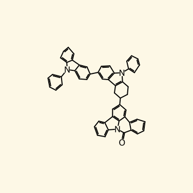 O=c1c2ccccc2c2cc(C3CCc4c(c5cc(-c6ccc7c(c6)c6ccccc6n7-c6ccccc6)ccc5n4-c4ccccc4)C3)cc3c4ccccc4n1c23